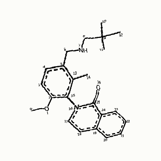 COc1ccc(CNCC(C)(C)C)c(C)c1-n1ccc2ccccc2c1=O